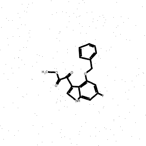 COC(=O)C(=O)c1c[nH]c2cc(F)cc(OCc3ccccc3)c12